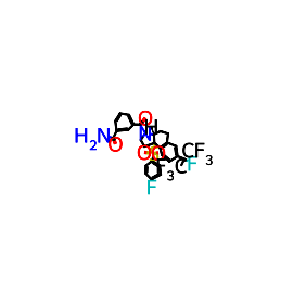 NC(=O)c1cccc(C(=O)N2CC[C@@]3(S(=O)(=O)c4ccc(F)cc4)c4ccc(C(F)(C(F)(F)F)C(F)(F)F)cc4CC[C@@H]23)c1